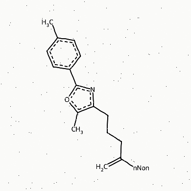 C=C(CCCCCCCCC)CCCc1nc(-c2ccc(C)cc2)oc1C